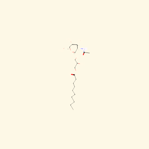 CCCCCCCCCC(=O)OCC(O)CO[C@@H]1O[C@H](CO)[C@@H](O)[C@H](O)[C@H]1NC(C)=O